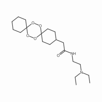 CCN(CC)CCNC(=O)CC1CCC2(CC1)OOC1(CCCCC1)OO2